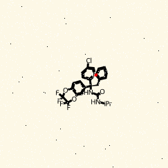 CC(C)NC(=O)N[C@](Cc1ccccc1)(c1ccc2c(c1)OC(F)(F)C(F)(F)O2)c1ccc(Cl)cn1